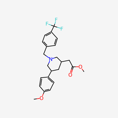 COC(=O)CC1CC(c2ccc(OC)cc2)CN(Cc2ccc(C(F)(F)F)cc2)C1